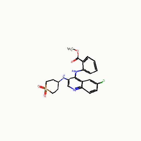 COC(=O)c1ccccc1Nc1c(NC2CCS(=O)(=O)CC2)cnc2ccc(Cl)cc12